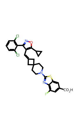 O=C(O)c1cc(F)c2nc(N3CCC4(CC3)CC(=Cc3c(-c5c(Cl)cccc5Cl)noc3C3CC3)C4)sc2c1